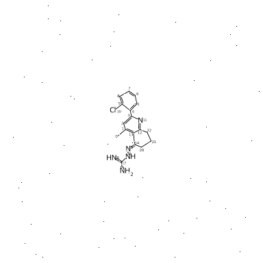 Cc1cc(-c2ccccc2Cl)nc2c1C(=NNC(=N)N)CCC2